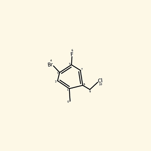 Cc1cc(Br)c(F)cc1CCl